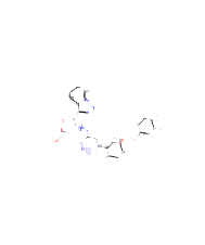 NCC(CCc1cccc(OCc2ccccc2)c1)N[C@H](CC(=O)O)Cc1c[nH]c2ccccc12